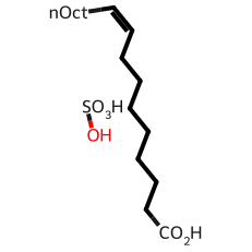 CCCCCCCC/C=C\CCCCCCCC(=O)O.O=S(=O)(O)O